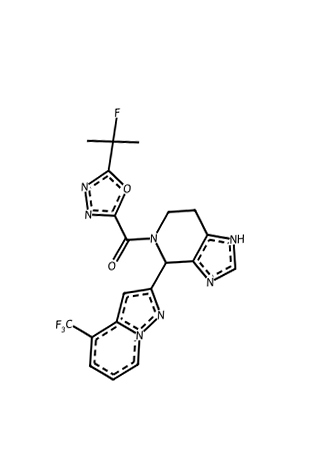 CC(C)(F)c1nnc(C(=O)N2CCc3[nH]cnc3C2c2cc3c(C(F)(F)F)cccn3n2)o1